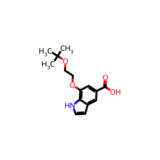 CC(C)(C)OCCOc1cc(C(=O)O)cc2cc[nH]c12